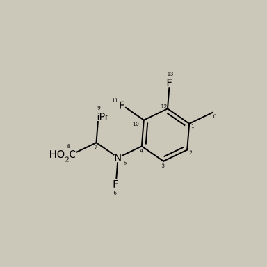 Cc1ccc(N(F)C(C(=O)O)C(C)C)c(F)c1F